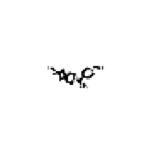 CC(C)CN1CCC(C(N2CCC3(CC2)CC(OC(C)C)C3)C(F)(F)F)CC1